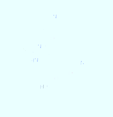 COC1Cc2[nH]c(=S)n(Cc3ccncc3)c(=O)c2C=C1c1cnco1